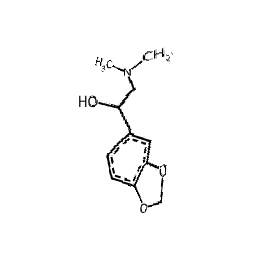 [CH2]N(C)CC(O)c1ccc2c(c1)OCO2